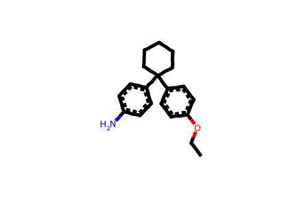 CCOc1ccc(C2(c3ccc(N)cc3)CCCCC2)cc1